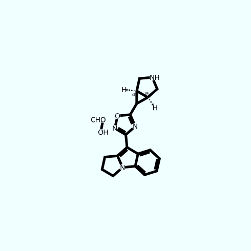 O=CO.c1ccc2c(c1)c(-c1noc(C3[C@H]4CNC[C@@H]34)n1)c1n2CCC1